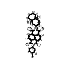 CC1CCC(N2C(=O)c3ccc4c5c(ccc(c35)C2=O)C(=O)N(C2CC[C@H]3CCCC[C@@H]3C2)C4=O)CC1